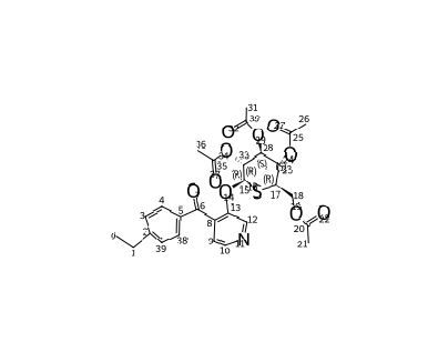 CCc1ccc(C(=O)c2ccncc2O[C@@H]2S[C@H](COC(C)=O)[C@@H](OC(C)=O)[C@H](OC(C)=O)[C@H]2OC(C)=O)cc1